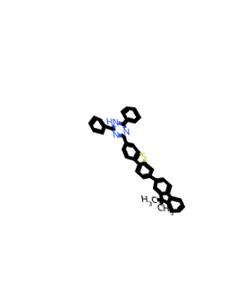 CC1(C)c2ccccc2-c2ccc(-c3ccc4c(c3)sc3cc(C5=NC(c6ccccc6)NC(c6ccccc6)=N5)ccc34)cc21